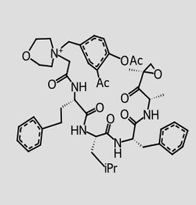 CC(=O)Oc1ccc(C[N+]2(CC(=O)N[C@@H](CCc3ccccc3)C(=O)N[C@@H](CC(C)C)C(=O)N[C@@H](Cc3ccccc3)C(=O)N[C@@H](C)C(=O)[C@@]3(C)CO3)CCOCC2)cc1C(C)=O